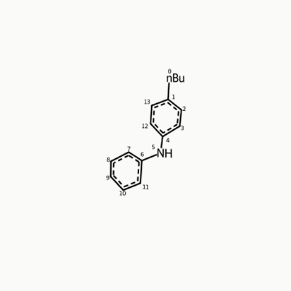 CCCCc1ccc(Nc2ccccc2)cc1